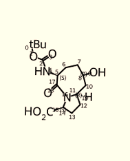 CC(C)(C)OC(=O)N[C@H]1CC[C@@H](O)C[C@H]2CC[C@@H](C(=O)O)N2C1=O